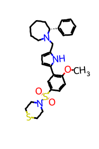 COc1ccc(S(=O)(=O)N2CCSCC2)cc1-c1ccc(CN2CCCCC[C@@H]2c2ccccc2)[nH]1